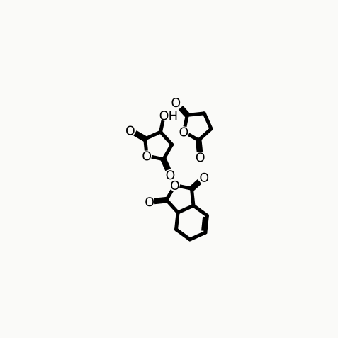 O=C1CC(O)C(=O)O1.O=C1CCC(=O)O1.O=C1OC(=O)C2CCC=CC12